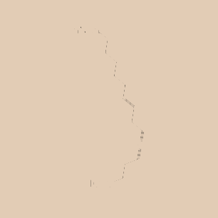 CCCCCCCCCCCCCCC=CCC=C=CCCC(=O)O